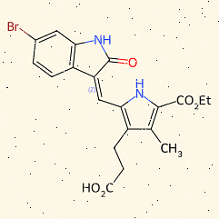 CCOC(=O)c1[nH]c(/C=C2\C(=O)Nc3cc(Br)ccc32)c(CCC(=O)O)c1C